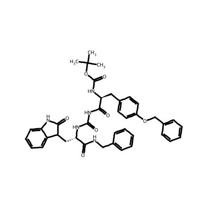 CC(C)(C)OC(=O)N[C@@H](Cc1ccc(OCc2ccccc2)cc1)C(=O)NC(=O)N[C@@H](CC1C(=O)Nc2ccccc21)C(=O)NCc1ccccc1